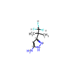 CC(C)(c1cc(N)[nH]n1)C(F)(F)F